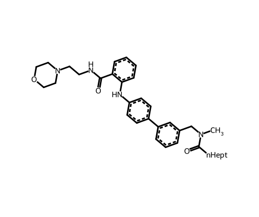 CCCCCCCC(=O)N(C)Cc1cccc(-c2ccc(Nc3ccccc3C(=O)NCCN3CCOCC3)cc2)c1